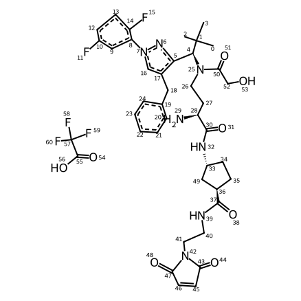 CC(C)(C)[C@H](c1nn(-c2cc(F)ccc2F)cc1Cc1ccccc1)N(CC[C@H](N)C(=O)N[C@@H]1CC[C@@H](C(=O)NCCN2C(=O)C=CC2=O)C1)C(=O)CO.O=C(O)C(F)(F)F